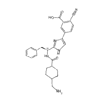 N#Cc1ccc(-c2c[nH]c([C@H](Cc3ccccc3)NC(=O)C3CCC(CN)CC3)n2)cc1C(=O)O